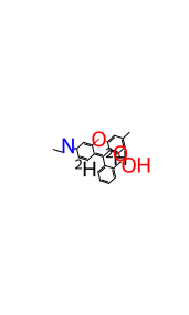 [2H]c1c/c(=N\CC)cc2oc3cc(C)cc([2H])c3c(-c3ccccc3C(=O)O)c1-2